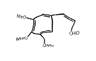 COc1cc(/C=C\C=O)cc(OC)c1OC